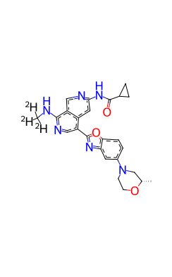 [2H]C([2H])([2H])Nc1ncc(-c2nc3cc(N4CCO[C@@H](C)C4)ccc3o2)c2cc(NC(=O)C3CC3)ncc12